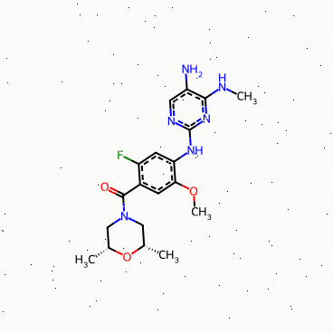 CNc1nc(Nc2cc(F)c(C(=O)N3C[C@@H](C)O[C@@H](C)C3)cc2OC)ncc1N